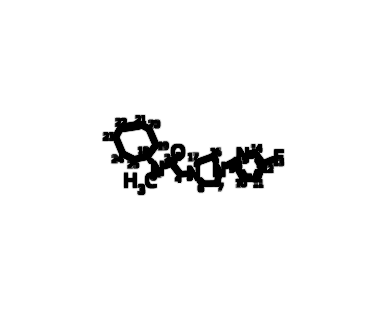 CN(C(=O)CN1CCN(c2ccc(F)cn2)CC1)[C@@H]1CC/C=C\CCC1